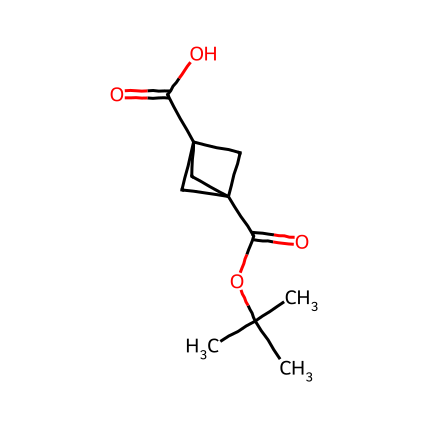 CC(C)(C)OC(=O)C12CC(C(=O)O)(C1)C2